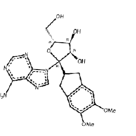 COc1cc2c(cc1OC)CC([C@@]1(n3cnc4c(N)ncnc43)O[C@H](CO)[C@@H](O)[C@H]1O)C2